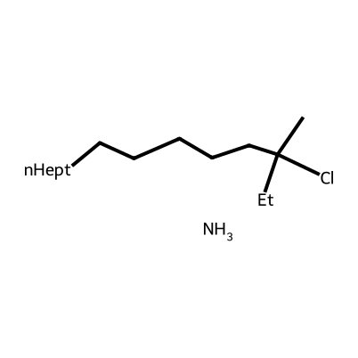 CCCCCCCCCCCCC(C)(Cl)CC.N